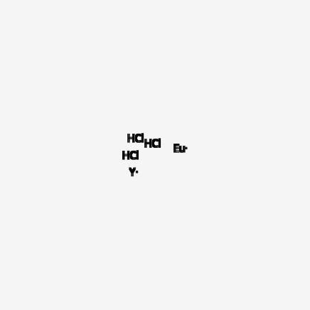 Cl.Cl.Cl.[Eu].[Y]